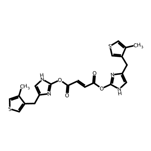 Cc1cscc1Cc1c[nH]c(OC(=O)/C=C/C(=O)Oc2nc(Cc3cscc3C)c[nH]2)n1